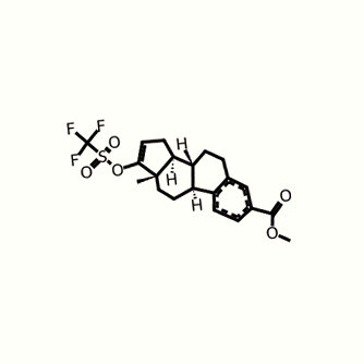 COC(=O)c1ccc2c(c1)CC[C@@H]1[C@@H]2CC[C@]2(C)C(OS(=O)(=O)C(F)(F)F)=CC[C@@H]12